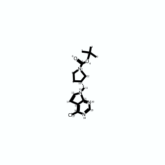 CC(C)(C)OC(=O)N1CC[C@@H](Cn2ccc3c(Cl)ncnc32)C1